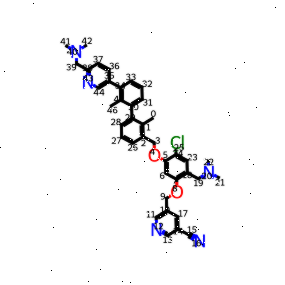 Cc1c(COc2cc(OCc3cncc(C#N)c3)c(CN(C)C)cc2Cl)cccc1-c1cccc(-c2ccc(CN(C)C)nc2)c1C